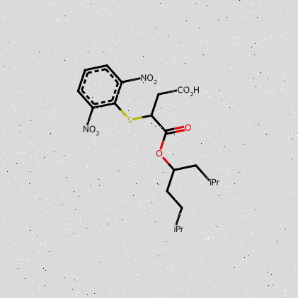 CC(C)CCC(CC(C)C)OC(=O)C(CC(=O)O)Sc1c([N+](=O)[O-])cccc1[N+](=O)[O-]